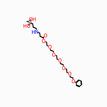 C[Si](O)(O)CCCNCCC(=O)OCCOCCOCCOCCOCCOCCOc1ccccc1